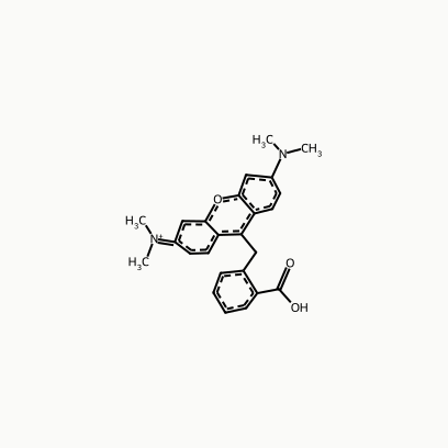 CN(C)c1ccc2c(Cc3ccccc3C(=O)O)c3ccc(=[N+](C)C)cc-3oc2c1